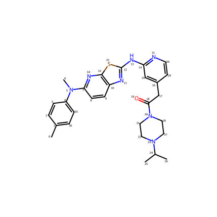 Cc1ccc(N(C)c2ccc3nc(Nc4cc(CC(=O)N5CCN(C(C)C)CC5)ccn4)sc3n2)cc1